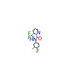 Cc1cc(NC(=O)c2ncccc2C(F)(F)F)ccc1F